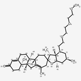 COCCOCCOCCN1C[C@@H](C)C[C@H]2OC3(CC[C@@H]4C(=C(C)C3)C[C@H]3[C@H]4CCC4=CC(=O)CC[C@@]43C)[C@H](C)[C@@H]21